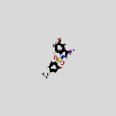 Cc1ccc(S(=O)(=O)n2cc(I)c3cc(Br)ccc32)cc1